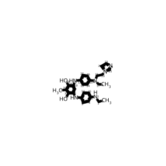 CCNc1ccc(Nc2cc(Nc3ccc(N(CC)CCn4ccnc4)cc3)c(O)c(C)c2O)cc1